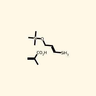 C=C(C)C(=O)O.C[Si](C)(C)OCC=C[SiH3]